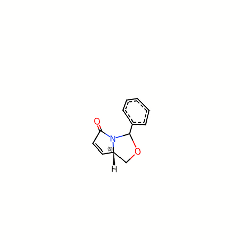 O=C1C=C[C@H]2COC(c3ccccc3)N12